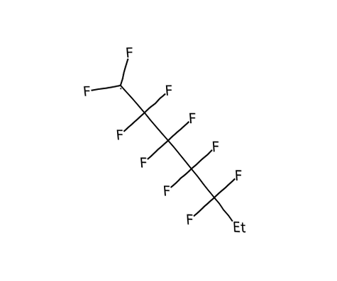 CCC(F)(F)C(F)(F)C(F)(F)C(F)(F)[C](F)F